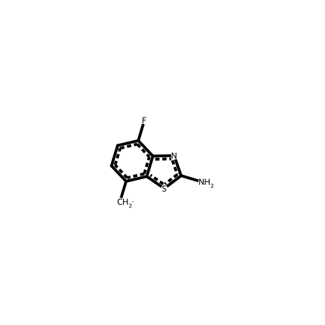 [CH2]c1ccc(F)c2nc(N)sc12